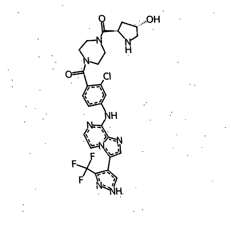 O=C(c1ccc(Nc2nccn3c(-c4c[nH]nc4C(F)(F)F)cnc23)cc1Cl)N1CCN(C(=O)[C@H]2C[C@H](O)CN2)CC1